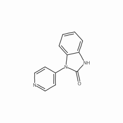 O=c1[nH]c2ccccc2n1-c1ccncc1